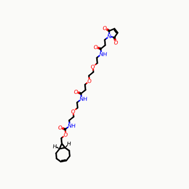 O=C(CCOCCOCCNC(=O)CCN1C(=O)C=CC1=O)NCCOCCNC(=O)OCC1[C@H]2CC/C=C\CC[C@@H]12